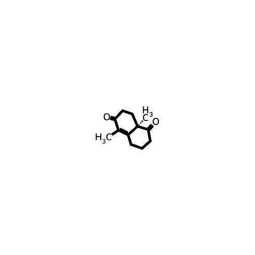 CC1=C2CCCC(=O)[C@]2(C)CCC1=O